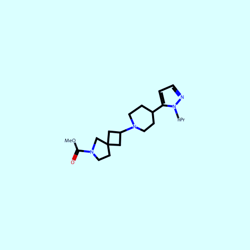 CCCn1nccc1C1CCN(C2CC3(CCN(C(=O)OC)C3)C2)CC1